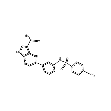 CC(C)(C)C(=O)c1c[nH]c2ncc(-c3cccc(NS(=O)(=O)c4ccc(N)cc4)c3)nc12